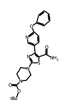 CC(C)(C)OC(=O)N1CCN(c2nc(-c3ccc(Oc4ccccc4)nc3)c(C(N)=O)s2)CC1